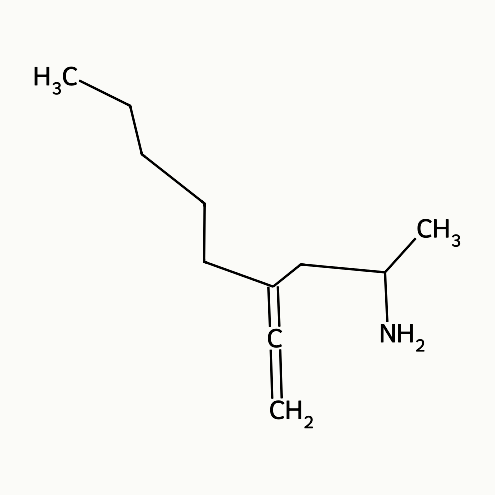 C=C=C(CCCCC)CC(C)N